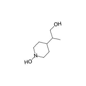 CC(CO)C1CCN(O)CC1